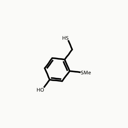 CSc1cc(O)ccc1CS